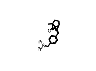 CC(C)N(Cc1ccc(C=C2C(=O)C3(C)CCC2C3(C)C)cc1)C(C)C